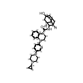 O=C(NC1[C@@H]2CC3C[C@H]1CC(O)(C3)C2)N1CCN(c2ccc(N3CCN(C4CC4)CC3)cn2)c2ccccc21